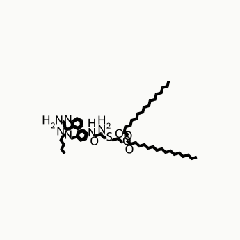 CCCCCCCCCCCCCCCC(=O)OCC(CSC[C@H](N)C(=O)Nc1ccc(Cn2c(CCCC)nc3c(N)nc4ccccc4c32)cc1)OC(=O)CCCCCCCCCCCCCCC